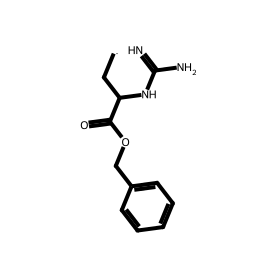 [CH2]CC(NC(=N)N)C(=O)OCc1ccccc1